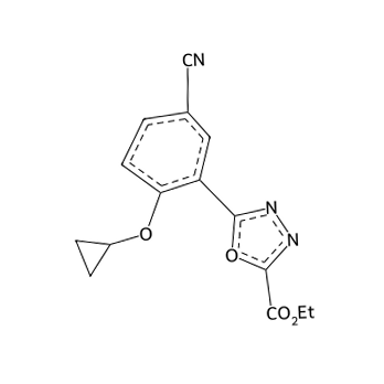 CCOC(=O)c1nnc(-c2cc(C#N)ccc2OC2CC2)o1